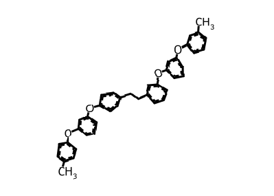 Cc1ccc(Oc2cccc(Oc3ccc(CCc4cccc(Oc5cccc(Oc6cccc(C)c6)c5)c4)cc3)c2)cc1